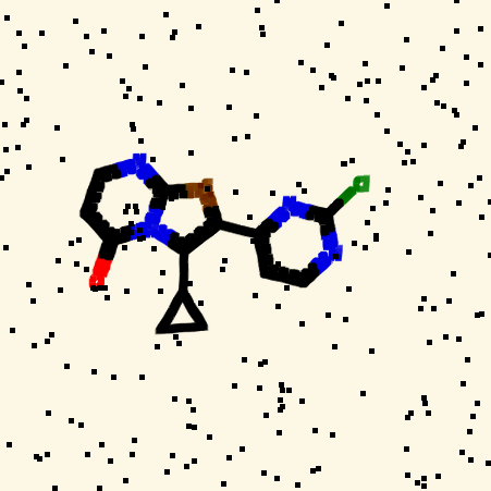 O=c1ccnc2sc(-c3ccnc(Cl)n3)c(C3CC3)n12